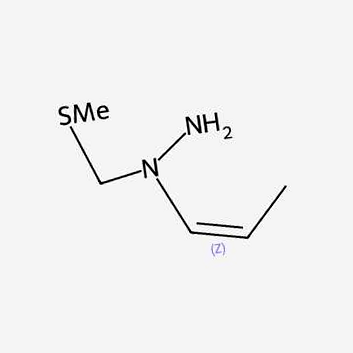 C/C=C\N(N)CSC